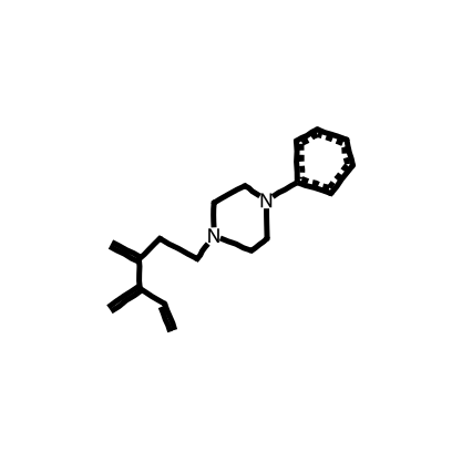 C=CC(=C)C(=C)CCN1CCN(c2ccccc2)CC1